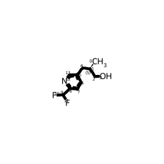 C[C@H](CO)Cc1ccc(C(F)F)nc1